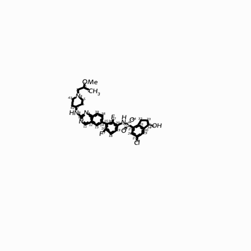 COC(C)CN1CCC(Nc2ncc3cc(-c4c(F)ccc(NS(=O)(=O)c5cc(Cl)cc6c5CC[C@H]6O)c4F)ccc3n2)CC1